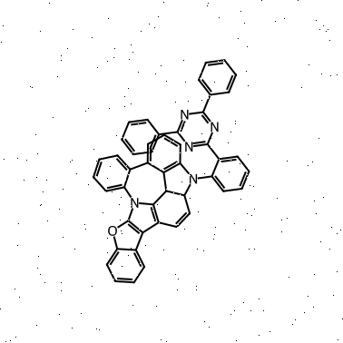 C1=CC2C3c4c(cccc4N2c2ccccc2-c2nc(-c4ccccc4)nc(-c4ccccc4)n2)-c2ccccc2-n2c3c1c1c3ccccc3oc12